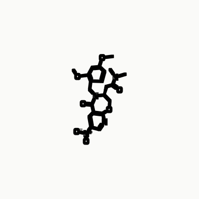 COc1ccc(CN2C(=O)c3cc([N+](=O)[O-])cnc3OC[C@@H]2CC(=O)N(C)C)c(OC)c1